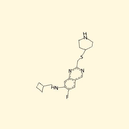 Fc1cc2cnc(CSC3CCNCC3)nc2cc1NCC1CCC1